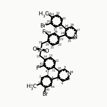 Cc1ccc(-c2ccncc2-c2ccc(CS(=O)(=O)Cc3ccc(-c4cnccc4-c4ccc(C)c(Br)c4)cc3F)c(F)c2)cc1Br